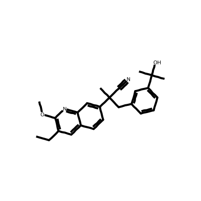 CCc1cc2ccc(C(C)(C#N)Cc3cccc(C(C)(C)O)c3)cc2nc1OC